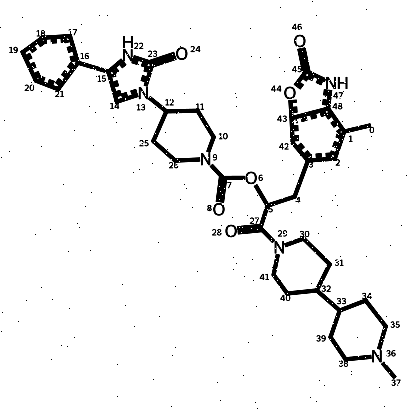 Cc1cc(CC(OC(=O)N2CCC(n3cc(-c4ccccc4)[nH]c3=O)CC2)C(=O)N2CCC(C3CCN(C)CC3)CC2)cc2oc(=O)[nH]c12